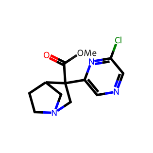 COC(=O)C1(c2cncc(Cl)n2)CN2CCC1C2